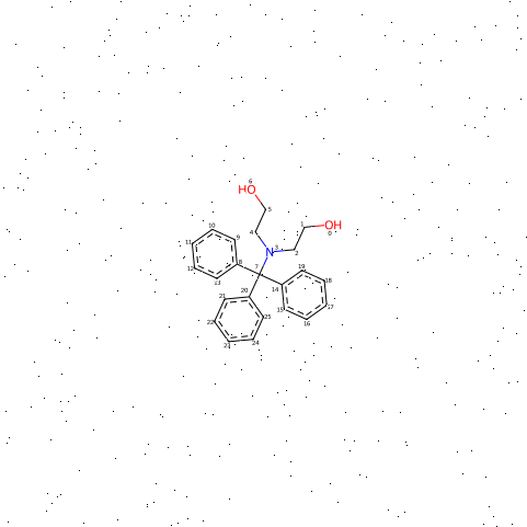 OCCN(CCO)C(c1ccccc1)(c1ccccc1)c1ccccc1